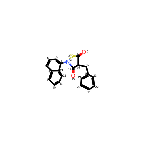 O=C1SN(c2cccc3ccccc23)C(=O)C1Cc1ccccc1